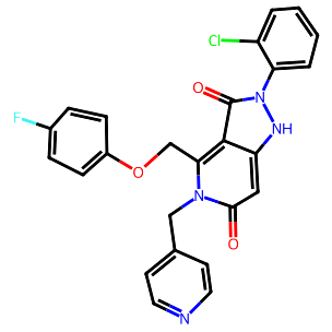 O=c1c2c(COc3ccc(F)cc3)n(Cc3ccncc3)c(=O)cc2[nH]n1-c1ccccc1Cl